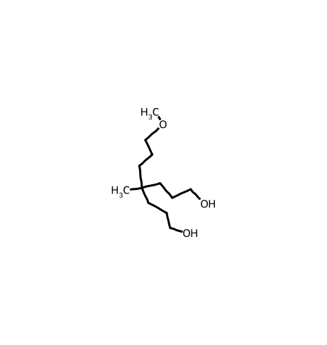 COCCCC(C)(CCCO)CCCO